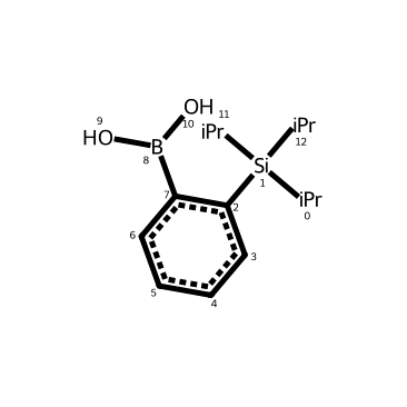 CC(C)[Si](c1ccccc1B(O)O)(C(C)C)C(C)C